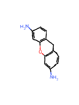 Nc1ccc2c(c1)Oc1cc(N)ccc1C2